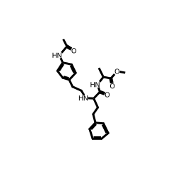 COC(=O)C(C)NC(=O)C(CCc1ccccc1)NCCc1ccc(NC(C)=O)cc1